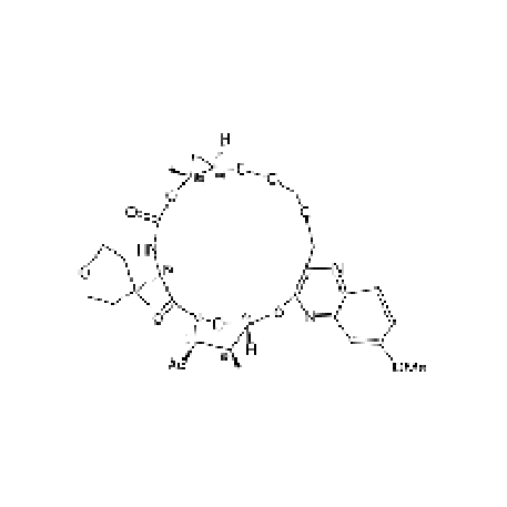 COc1ccc2nc3c(nc2c1)O[C@H]1CN(C(=O)[C@H](C2(C)CCOCC2)NC(=O)O[C@]2(C)C[C@H]2CCCCC3)[C@H](C(C)=O)[C@@H]1C